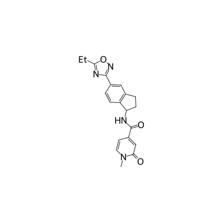 CCc1nc(-c2ccc3c(c2)CCC3NC(=O)c2ccn(C)c(=O)c2)no1